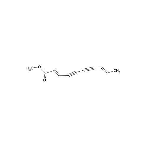 CC=CC#CC#CC=CC(=O)OC